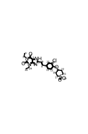 CCn1c(=O)c2[nH]c(C=Cc3ccc(OC4CCS(=O)(=O)CC4)c(Cl)c3)nc2n(CC)c1=O